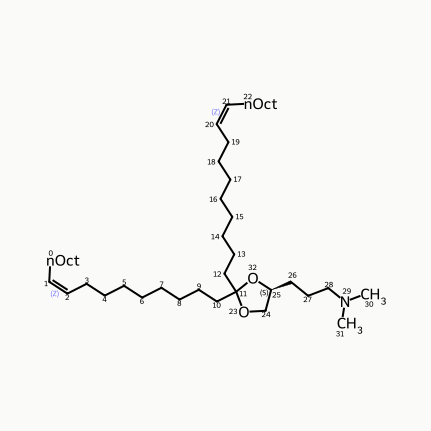 CCCCCCCC/C=C\CCCCCCCCC1(CCCCCCCC/C=C\CCCCCCCC)OC[C@H](CCCN(C)C)O1